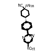 CCCCCCCCC[C@]1(C#N)CC[C@H](c2ccc(-c3ncc(CCCCCCCC)cn3)cc2)CC1